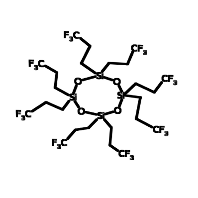 FC(F)(F)CC[Si]1(CCC(F)(F)F)O[Si](CCC(F)(F)F)(CCC(F)(F)F)O[Si](CCC(F)(F)F)(CCC(F)(F)F)O[Si](CCC(F)(F)F)(CCC(F)(F)F)O1